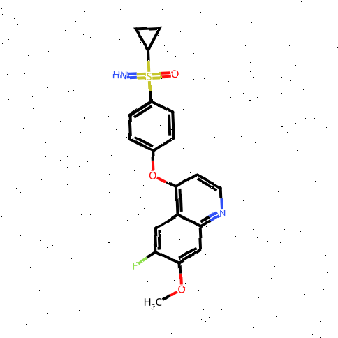 COc1cc2nccc(Oc3ccc(S(=N)(=O)C4CC4)cc3)c2cc1F